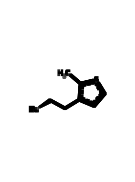 CC[C@H](C)CCc1ccsc1C